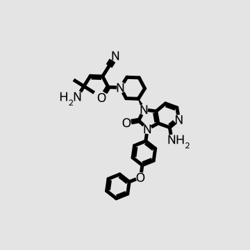 CC(C)(N)/C=C(/C#N)C(=O)N1CCC[C@@H](n2c(=O)n(-c3ccc(Oc4ccccc4)cc3)c3c(N)nccc32)C1